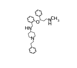 CNCCC(Oc1ccccc1CNC1CCN(CCc2ccccc2)CC1)c1ccccc1